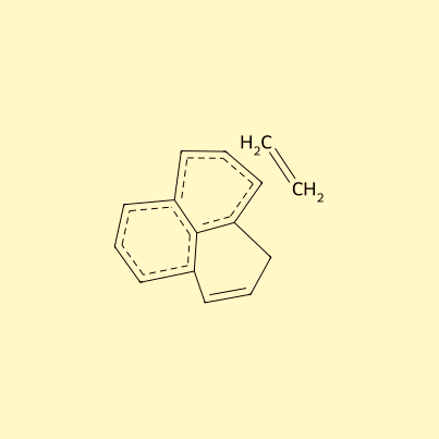 C1=Cc2cccc3cccc(c23)C1.C=C